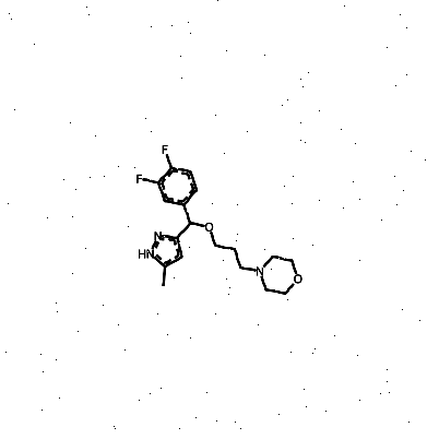 Cc1cc(C(OCCCN2CCOCC2)c2ccc(F)c(F)c2)n[nH]1